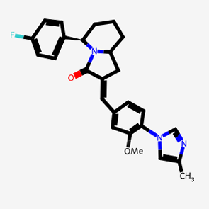 COc1cc(/C=C2\CC3CCC[C@H](c4ccc(F)cc4)N3C2=O)ccc1-n1cnc(C)c1